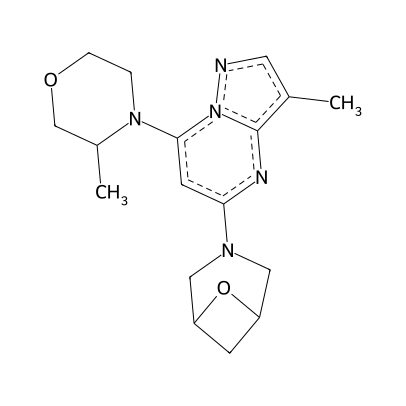 Cc1cnn2c(N3CCOCC3C)cc(N3CC4CC(C3)O4)nc12